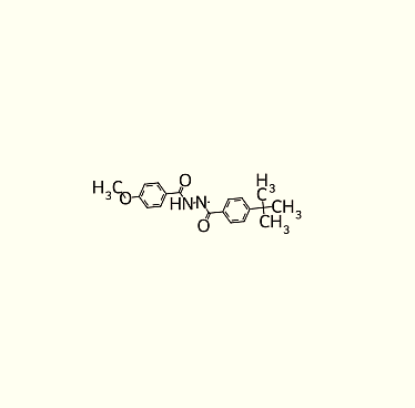 COc1ccc(C(=O)N[N]C(=O)c2ccc(C(C)(C)C)cc2)cc1